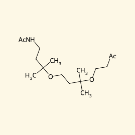 CC(=O)CCOC(C)(C)CCOC(C)(C)CCNC(C)=O